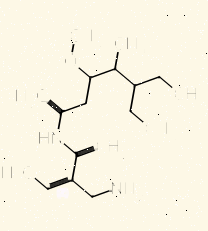 C=C(CC(OC)C(C)C(CC)CC)NC(=C)/C(=C\C)CN